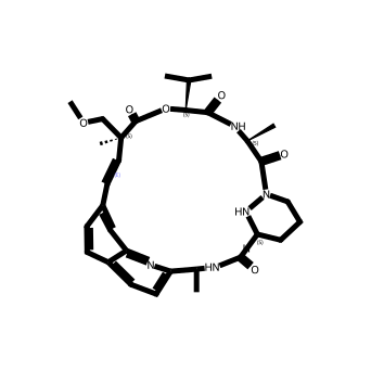 COC[C@]1(C)/C=C/c2ccc3ccc(nc3c2)C(C)NC(=O)[C@@H]2CCCN(N2)C(=O)[C@H](C)NC(=O)[C@H](C(C)C)OC1=O